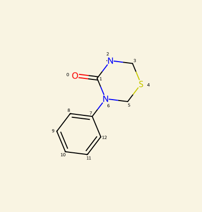 O=C1[N]CSCN1c1ccccc1